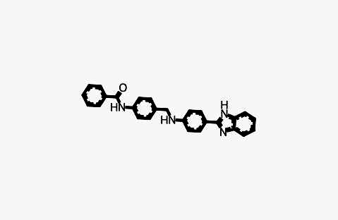 O=C(Nc1ccc(CNc2ccc(-c3nc4ccccc4[nH]3)cc2)cc1)c1ccccc1